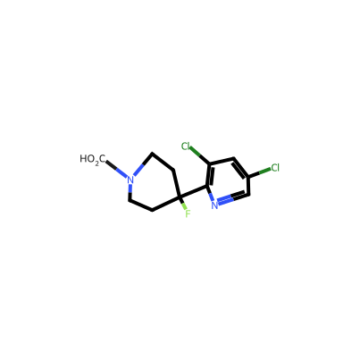 O=C(O)N1CCC(F)(c2ncc(Cl)cc2Cl)CC1